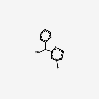 O=CC(c1ccccc1)c1cc(Cl)ccn1